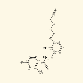 C#CCCCCOc1cccc(CNC(=O)c2ccc(F)nc2N)c1F